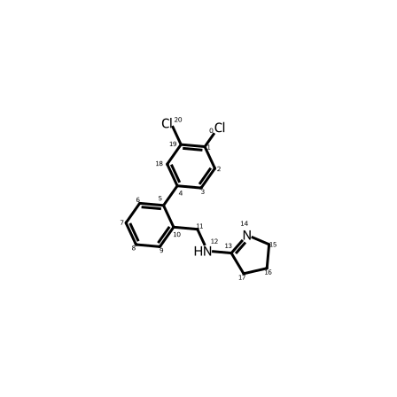 Clc1ccc(-c2ccccc2CNC2=NCCC2)cc1Cl